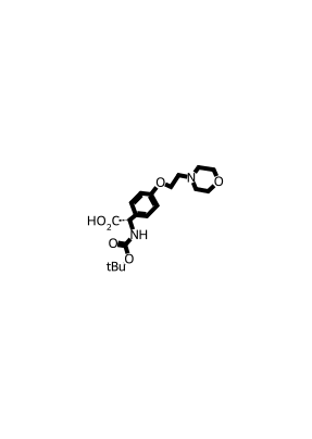 CC(C)(C)OC(=O)N[C@H](C(=O)O)c1ccc(OCCN2CCOCC2)cc1